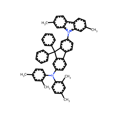 Cc1ccc(N(c2ccc3c(c2)C(c2ccccc2)(c2ccccc2)c2cc(-n4c5cc(C)ccc5c5ccc(C)cc54)ccc2-3)c2ccc(C)cc2C)c(C)c1